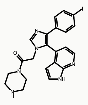 O=C(Cn1cnc(-c2ccc(I)cc2)c1-c1ccnc2[nH]ccc12)N1CCNCC1